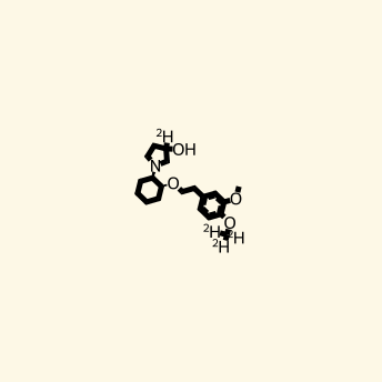 [2H]C1(O)CCN([C@@H]2CCCC[C@H]2OCCc2ccc(OC([2H])([2H])[2H])c(OC)c2)C1